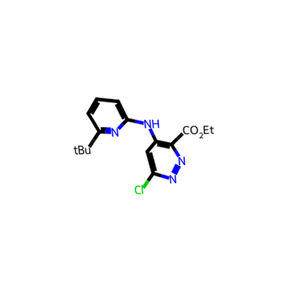 CCOC(=O)c1nnc(Cl)cc1Nc1cccc(C(C)(C)C)n1